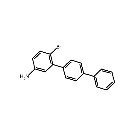 Nc1ccc(Br)c(-c2ccc(-c3ccccc3)cc2)c1